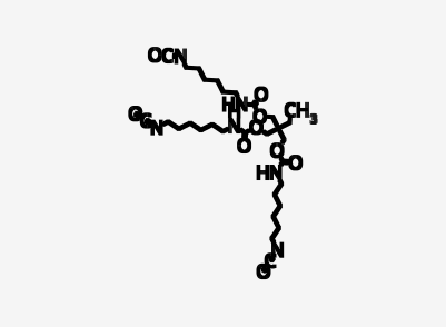 CCC(COC(=O)NCCCCCCN=C=O)(COC(=O)NCCCCCCN=C=O)COC(=O)NCCCCCCN=C=O